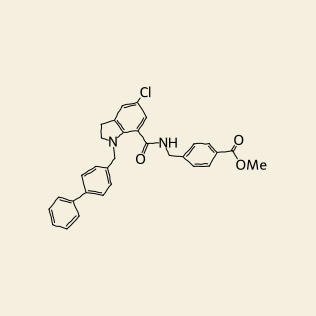 COC(=O)c1ccc(CNC(=O)c2cc(Cl)cc3c2N(Cc2ccc(-c4ccccc4)cc2)CC3)cc1